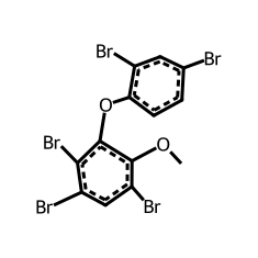 COc1c(Br)cc(Br)c(Br)c1Oc1ccc(Br)cc1Br